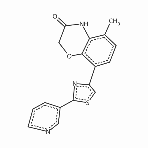 Cc1ccc(-c2csc(-c3cccnc3)n2)c2c1NC(=O)CO2